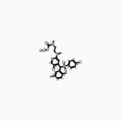 CN(CCN(C)c1cc(C(c2cc(F)ccc2F)S(=O)(=O)c2ccc(Cl)cc2)c(Cl)cn1)C(=O)OC(C)(C)C